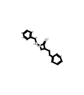 O=C1C(CCc2ccccc2)CN1OCc1ccccc1